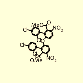 COC(=O)c1c([N+](=O)[O-])ccc(Oc2ccc([N+](=O)[O-])c(C(=O)OC)c2-c2ccc(Cl)cc2Cl)c1-c1ccc(Cl)cc1Cl